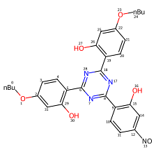 CCCCOc1ccc(-c2nc(-c3ccc(N=O)cc3O)nc(-c3ccc(OCCCC)cc3O)n2)c(O)c1